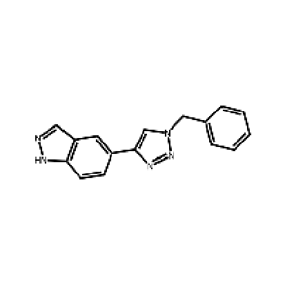 [c]1c(-c2ccc3[nH]ncc3c2)nnn1Cc1ccccc1